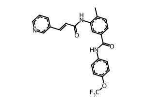 Cc1ccc(C(=O)Nc2ccc(OC(F)(F)F)cc2)cc1NC(=O)/C=C/c1cccnc1